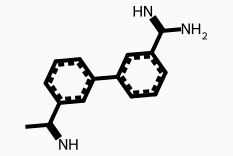 CC(=N)c1cccc(-c2cccc(C(=N)N)c2)c1